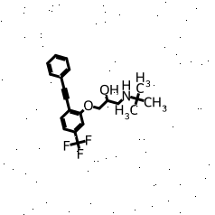 CC(C)(C)NCC(O)COc1cc(C(F)(F)F)ccc1C#Cc1ccccc1